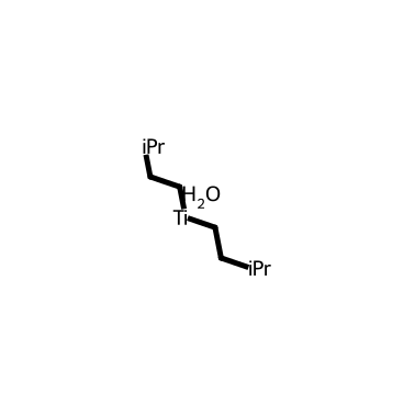 CC(C)C[CH2][Ti][CH2]CC(C)C.O